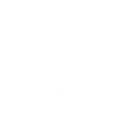 C#Cc1ccc(CCCO)cc1